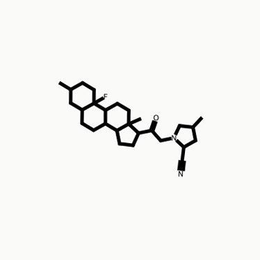 CC1CCC2(F)C(CCC3C4CCC(C(=O)CN5CC(C)CC5C#N)C4(C)CCC32)C1